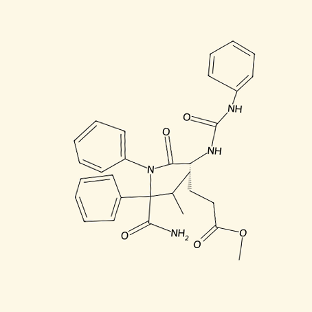 COC(=O)CC[C@@H](NC(=O)Nc1ccccc1)C(=O)N(c1ccccc1)C(C(N)=O)(c1ccccc1)C(C)C